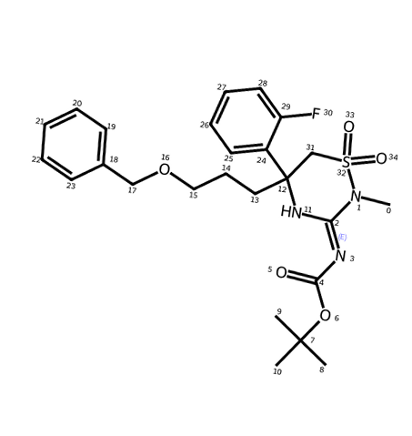 CN1/C(=N/C(=O)OC(C)(C)C)NC(CCCOCc2ccccc2)(c2ccccc2F)CS1(=O)=O